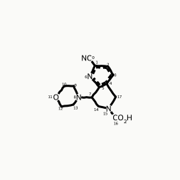 N#Cc1ccc2c(n1)C(N1CCOCC1)CN(C(=O)O)C2